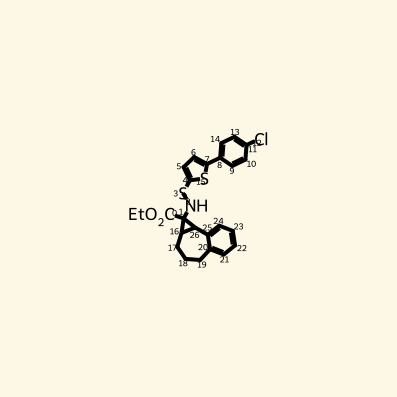 CCOC(=O)C1(NSc2ccc(-c3ccc(Cl)cc3)s2)C2CCCc3ccccc3C21